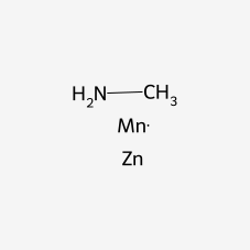 CN.[Mn].[Zn]